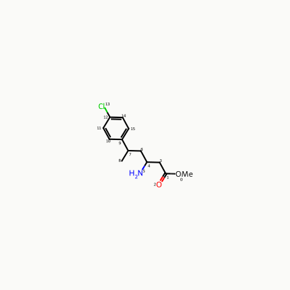 COC(=O)CC(N)CC(C)c1ccc(Cl)cc1